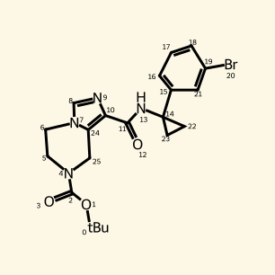 CC(C)(C)OC(=O)N1CCn2cnc(C(=O)NC3(c4cccc(Br)c4)CC3)c2C1